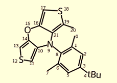 Cc1cc(C(C)(C)C)cc(C)c1N1c2cscc2Oc2csc(C)c21